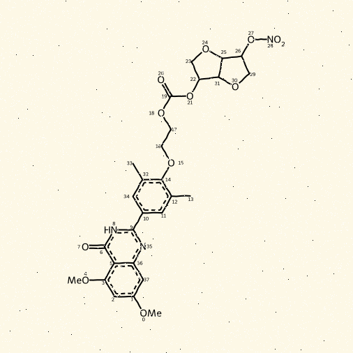 COc1cc(OC)c2c(=O)[nH]c(-c3cc(C)c(OCCOC(=O)OC4COC5C(O[N+](=O)[O-])COC45)c(C)c3)nc2c1